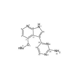 CCCCOc1ccnc2[nH]cc(-c3ccnc(N)n3)c12